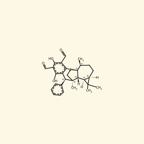 C[C@H]1CC[C@@H]2[C@H]([C@@H]3[C@]4(C)CC[C@@]31Oc1c(C=O)c(O)c(C=O)c(O)c1[C@@H]4c1ccccc1)C2(C)C